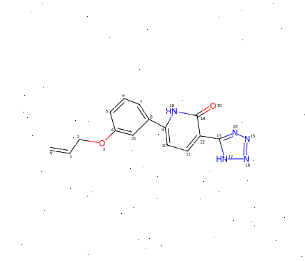 C=CCOc1cccc(-c2ccc(-c3nnn[nH]3)c(=O)[nH]2)c1